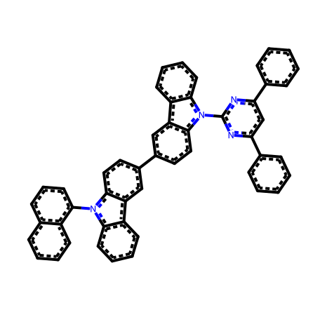 c1ccc(-c2cc(-c3ccccc3)nc(-n3c4ccccc4c4cc(-c5ccc6c(c5)c5ccccc5n6-c5cccc6ccccc56)ccc43)n2)cc1